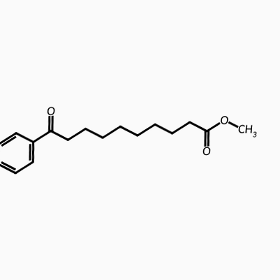 COC(=O)CCCCCCCCC(=O)c1ccccc1